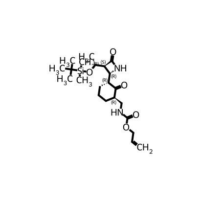 C=CCOC(=O)NC[C@H]1CCC[C@H]([C@H]2NC(=O)[C@@H]2[C@@H](C)O[Si](C)(C)C(C)(C)C)C1=O